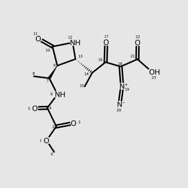 COC(=O)C(=O)NC(C)[C@H]1C(=O)N[C@@H]1C(C)C(=O)C(=[N+]=[N-])C(=O)O